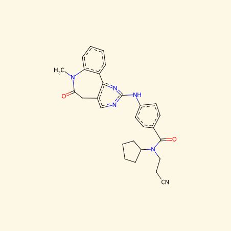 CN1C(=O)Cc2cnc(Nc3ccc(C(=O)N(CCC#N)C4CCCC4)cc3)nc2-c2ccccc21